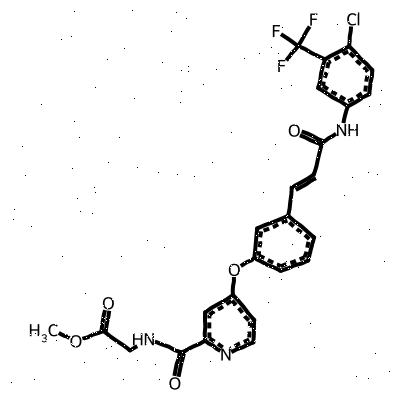 COC(=O)CNC(=O)c1cc(Oc2cccc(/C=C/C(=O)Nc3ccc(Cl)c(C(F)(F)F)c3)c2)ccn1